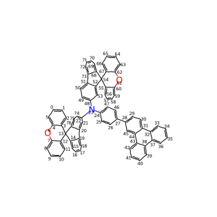 c1ccc2c(c1)Oc1ccccc1C21c2ccccc2-c2cc(N(c3ccc(-c4ccc5c6ccccc6c6ccccc6c5c4)cc3)c3ccc4c(c3)C3(c5ccccc5Oc5ccccc53)c3ccccc3-4)ccc21